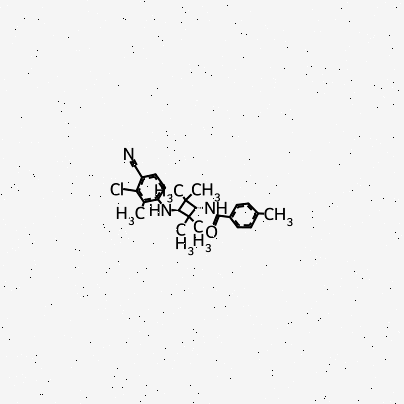 Cc1ccc(C(=O)N[C@H]2C(C)(C)[C@H](Nc3ccc(C#N)c(Cl)c3C)C2(C)C)cc1